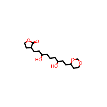 O=C1OCCC1CCC(O)CCCC(O)CCC1CCOCO1